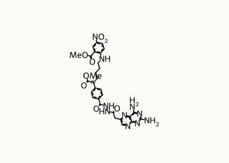 COC(=O)c1cc([N+](=O)[O-])ccc1NCCCC[C@H](C(=O)OC)c1ccc(C(=O)NNC(=O)Cc2cnc3nc(N)nc(N)c3n2)cc1